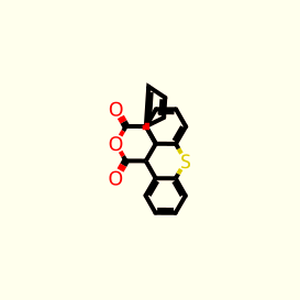 O=C1OC(=O)C2c3ccccc3SC3=CC=CC4=CC=CC1C432